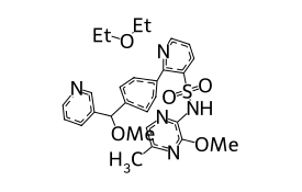 CCOCC.COc1nc(C)cnc1NS(=O)(=O)c1cccnc1-c1ccc(C(OC)c2cccnc2)cc1